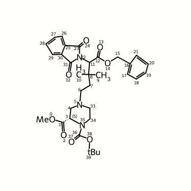 COC(=O)[C@@H]1CN(CCC(C)(C)C(C(=O)OCc2ccccc2)N2C(=O)c3ccccc3C2=O)CCN1C(=O)OC(C)(C)C